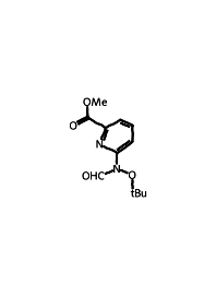 COC(=O)c1cccc(N(C=O)OC(C)(C)C)n1